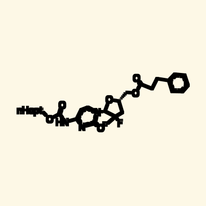 CCCCCCCOC(=O)Nc1ccn([C@@H]2O[C@H](COC(=O)CCc3ccccc3)CC2(F)F)c(=O)n1